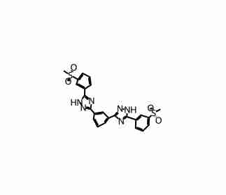 CS(=O)(=O)c1cccc(-c2nc(-c3cccc(-c4n[nH]c(-c5cccc(S(C)(=O)=O)c5)n4)c3)n[nH]2)c1